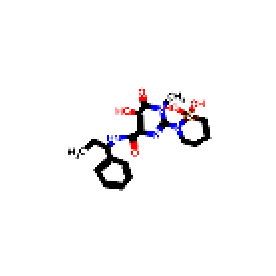 CCC(NC(=O)c1nc(N2CCCCS2(O)O)n(C)c(=O)c1O)c1ccccc1